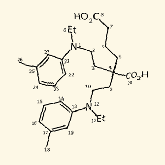 CCN(CCC(CCCC(=O)O)(CCN(CC)c1cccc(C)c1)C(=O)O)c1cccc(C)c1